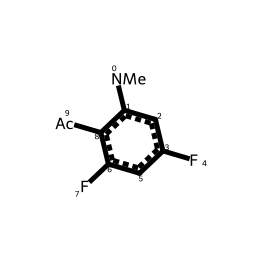 CNc1cc(F)cc(F)c1C(C)=O